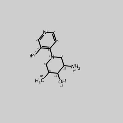 CC(C)c1cnccc1N1CC(C)C(O)C(N)C1